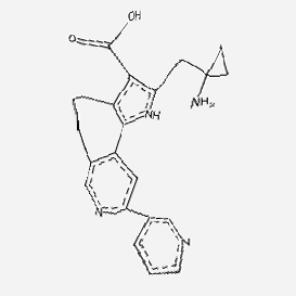 NC1(Cc2[nH]c3c(c2C(=O)O)CCc2cnc(-c4cccnc4)cc2-3)CC1